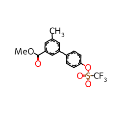 COC(=O)c1cc(C)cc(-c2ccc(OS(=O)(=O)C(F)(F)F)cc2)c1